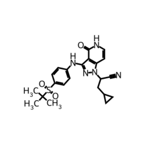 CC(C)(C)S(=O)(=O)c1ccc(Nc2nn(C(C#N)CC3CC3)c3cc[nH]c(=O)c23)cc1